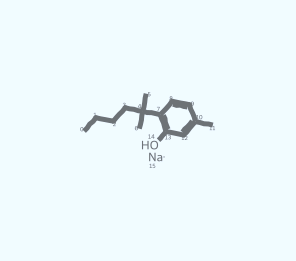 CCCCC(C)(C)c1ccc(C)cc1O.[Na]